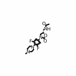 CC(=O)NC[C@H]1CN(c2cc(F)c(N3CCN(C)CC3)c(F)c2)C(=O)O1